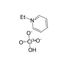 CC[n+]1ccccc1.[O-][Cl+3]([O-])([O-])O